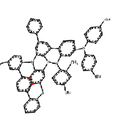 Cc1cc(C(C)(C)C)ccc1N1B2c3cc4c(cc3N(c3ccc(C(C)(C)C)cc3-c3ccccc3)c3cc(-c5ccccc5)cc(c32)-c2ccc(N(c3ccc(C(C)(C)C)cc3)c3ccc(C(C)(C)C)cc3)cc21)Sc1ccccc1S4